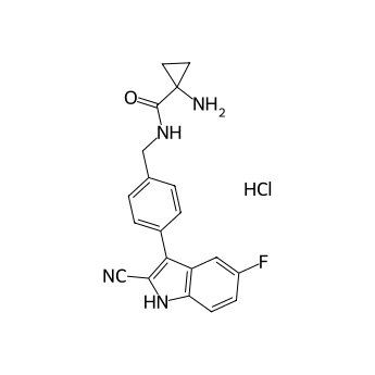 Cl.N#Cc1[nH]c2ccc(F)cc2c1-c1ccc(CNC(=O)C2(N)CC2)cc1